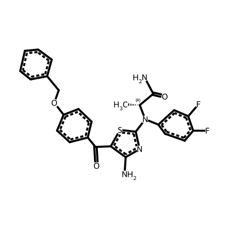 C[C@H](C(N)=O)N(c1ccc(F)c(F)c1)c1nc(N)c(C(=O)c2ccc(OCc3ccccc3)cc2)s1